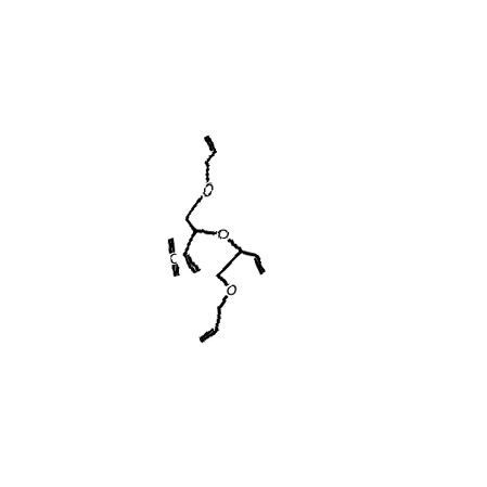 C=C=C.C=CCOCC(C=C)OC(C=C)COCC=C